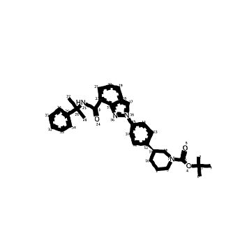 CC(C)(C)OC(=O)N1CCC[C@@H](c2ccc(-n3cc4cccc(C(=O)NC(C)(C)c5ccccc5)c4n3)cc2)C1